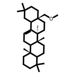 COC[C@]12CCC(C)(C)CC1C1=CCC3[C@@]4(C)CCCC(C)(C)C4CC[C@@]3(C)[C@]1(C)CC2